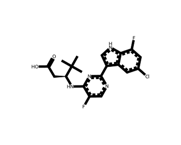 CC(C)(C)[C@H](CC(=O)O)Nc1nc(-c2c[nH]c3c(F)cc(Cl)cc23)ncc1F